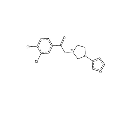 O=C(C[C@@H]1CCN(c2ccoc2)C1)c1ccc(Cl)c(Cl)c1